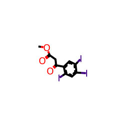 COC(=O)CC(=O)c1cc(I)c(I)cc1I